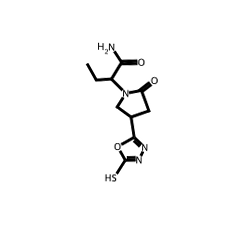 CCC(C(N)=O)N1CC(c2nnc(S)o2)CC1=O